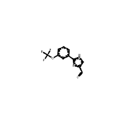 O=Cc1c[nH]c(-c2cccc(OC(F)(F)F)c2)n1